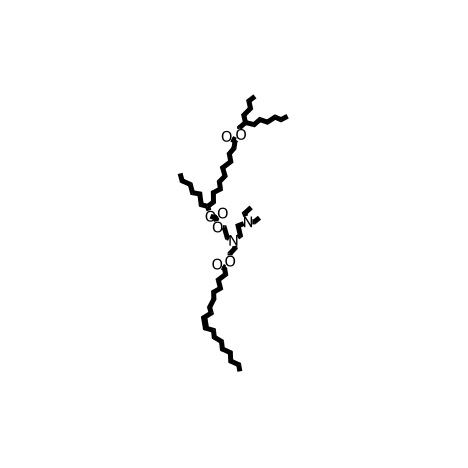 CCCCCCCC/C=C\CCCCCCCC(=O)OCCN(CCOC(=O)OC(CCCCCC)CCCCCCCCCC(=O)OCC(CCCC)CCCCCC)CCN(CC)CC